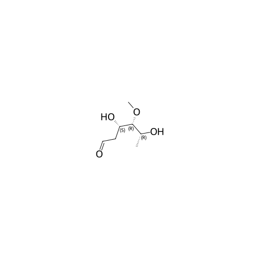 CO[C@H]([C@@H](C)O)[C@@H](O)CC=O